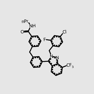 CCCNC(=O)c1cccc(Cc2cccc(-c3c4cccc(C(F)(F)F)c4nn3Cc3ccc(Cl)cc3F)c2)c1